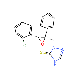 S=c1[nH]cnn1C[C@]1(c2ccccc2)O[C@@H]1c1ccccc1Cl